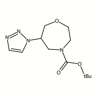 CC(C)(C)OC(=O)N1CCOCC(n2ccnn2)C1